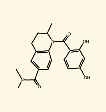 CC1CCc2cc(C(=O)N(C)C)ccc2N1C(=O)c1ccc(O)cc1O